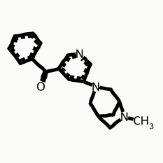 CN1CC2CC1CN(c1cncc(C(=O)c3ccccc3)c1)C2